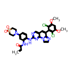 C=CC(=O)Nc1cc(N2CCS(=O)(=O)CC2)ccc1Nc1ncc2cc(-c3c(Cl)c(OC)cc(OC)c3Cl)c3nccn3c2n1